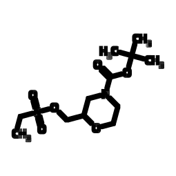 CCS(=O)(=O)OCC1CN(C(=O)OC(C)(C)C)CCO1